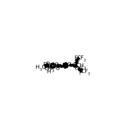 CCC(C)(C)C(=O)N[C@H]1CC[C@H](OC(=O)/C=C/c2ccc(OCCCC(C)(OCCC(F)(F)C(F)(F)F)OCCC(F)(F)C(F)(F)F)cc2)CC1